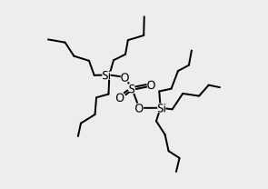 CCCCC[Si](CCCCC)(CCCCC)OS(=O)(=O)O[Si](CCCCC)(CCCCC)CCCCC